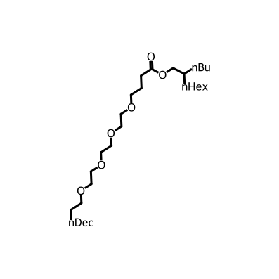 CCCCCCCCCCCCOCCOCCOCCOCCCC(=O)OCC(CCCC)CCCCCC